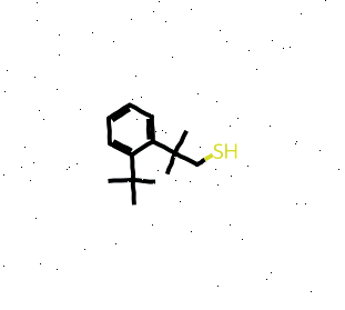 CC(C)(C)c1ccccc1C(C)(C)CS